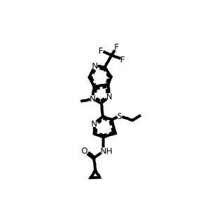 CCSc1cc(NC(=O)C2CC2)cnc1-c1nc2cc(C(F)(F)F)ncc2n1C